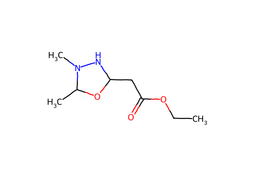 CCOC(=O)CC1NN(C)C(C)O1